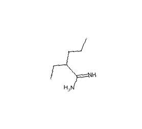 CCCC(CC)C(=N)N